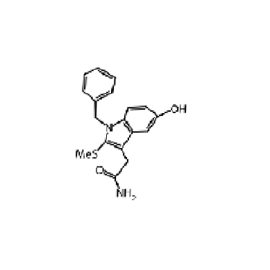 CSc1c(CC(N)=O)c2cc(O)ccc2n1Cc1ccccc1